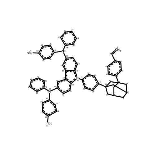 C=Cc1ccc(C23CC4CC(C2)CC(c2ccc(-n5c6ccc(N(c7ccccc7)c7ccc(CCCC)cc7)cc6c6cc(N(c7ccccc7)c7ccc(CCCC)cc7)ccc65)cc2)(C4)C3)cc1